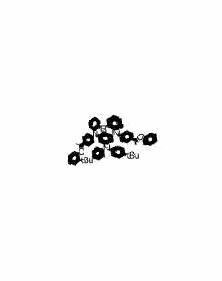 C[C@H](Oc1ccccc1)c1ccc(N2c3ccccc3B3C4=C(C=CCC4)N(c4ccc([C@@H](C)Oc5ccccc5)cc4)c4cc(N(c5ccc(C(C)(C)C)cc5)c5ccc(C(C)(C)C)cc5)cc2c43)cc1